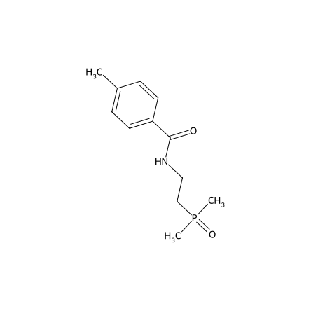 Cc1ccc(C(=O)NCCP(C)(C)=O)cc1